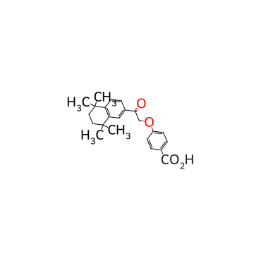 CC1(C)CCC(C)(C)c2cc(C(=O)COc3ccc(C(=O)O)cc3)ccc21